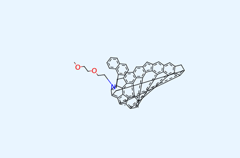 COCCOCCN1CC2C3=c4c5c6c7c(cc8cc9cc%10cc%11cc%12c%13c(c4c4c5c5c7c8c7c9c%10c8c%11c%13c4c8c75)=C(C3)C%12)CC62C1c1cccc2ccccc12